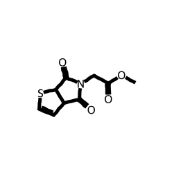 COC(=O)CN1C(=O)C2C=CSC2C1=O